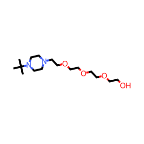 CC(C)(C)N1CCN(CCOCCOCCOCCO)CC1